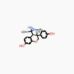 CCCCCCCCCCC1(C2c3ccc(O)cc3OCC2(C)c2ccc(O)cc2)NN1CCCC